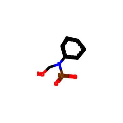 O=[SH](=O)N(CO)c1ccccc1